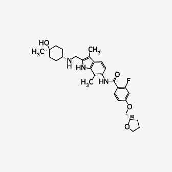 Cc1c(CN[C@H]2CC[C@](C)(O)CC2)[nH]c2c(C)c(NC(=O)c3ccc(OC[C@@H]4CCCO4)cc3F)ccc12